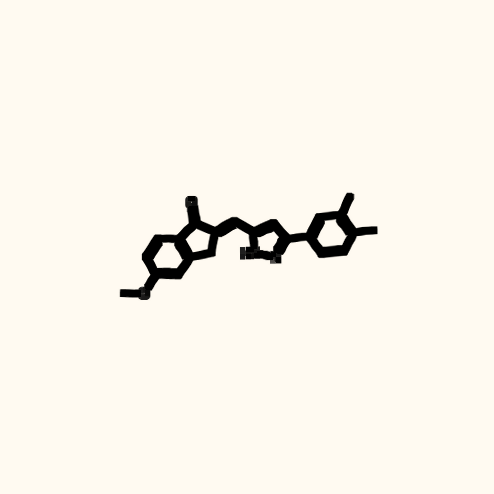 COc1ccc2c(c1)C/C(=C\c1cc(-c3ccc(C)c(C)c3)n[nH]1)C2=O